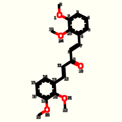 COc1cccc(C=CC(=O)C=Cc2cccc(OC)c2OC)c1OC